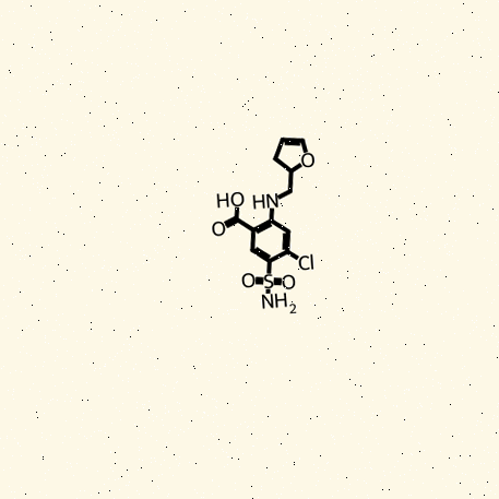 NS(=O)(=O)c1cc(C(=O)O)c(NCC2CC=CO2)cc1Cl